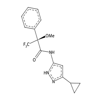 CO[C@](C(=O)Nc1cc(C2CC2)n[nH]1)(c1ccccc1)C(F)(F)F